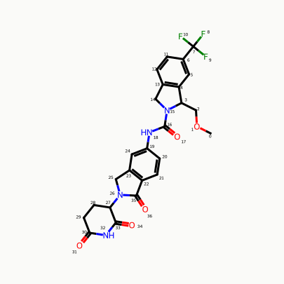 COCC1c2cc(C(F)(F)F)ccc2CN1C(=O)Nc1ccc2c(c1)CN(C1CCC(=O)NC1=O)C2=O